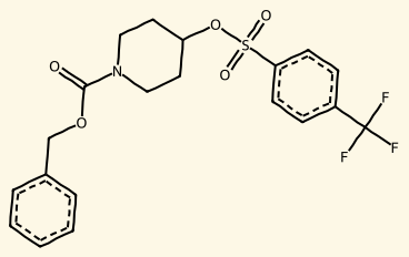 O=C(OCc1ccccc1)N1CCC(OS(=O)(=O)c2ccc(C(F)(F)F)cc2)CC1